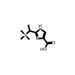 [CH2]C(c1nc(C(=O)O)c[nH]1)[Si](C)(C)C